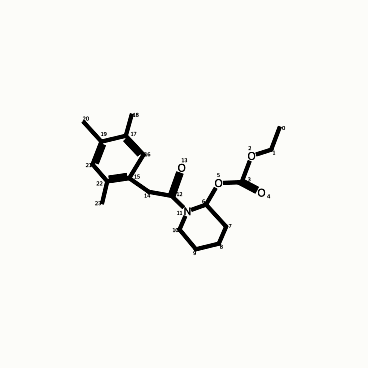 CCOC(=O)OC1CCCCN1C(=O)Cc1cc(C)c(C)cc1C